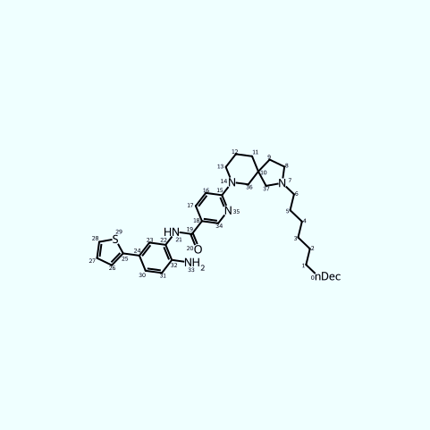 CCCCCCCCCCCCCCCCN1CCC2(CCCN(c3ccc(C(=O)Nc4cc(-c5cccs5)ccc4N)cn3)C2)C1